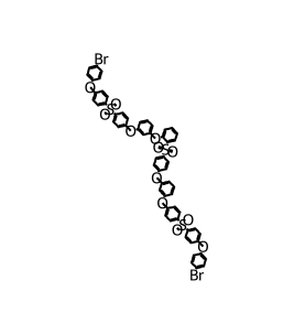 O=S(=O)(c1ccc(Oc2ccc(Br)cc2)cc1)c1ccc(Oc2cccc(Oc3ccc(S(=O)(=O)c4ccccc4Oc4cccc(Oc5ccc(S(=O)(=O)c6ccc(Oc7ccc(Br)cc7)cc6)cc5)c4)cc3)c2)cc1